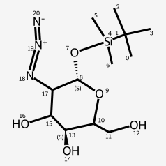 CC(C)(C)[Si](C)(C)O[C@@H]1OC(CO)[C@@H](O)C(O)C1N=[N+]=[N-]